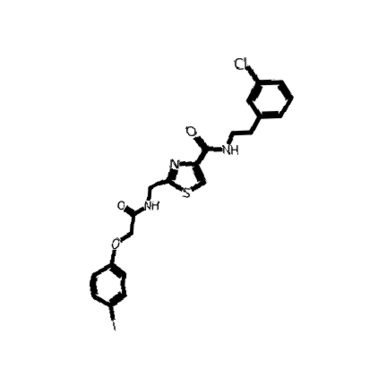 O=C(COc1ccc(I)cc1)NCc1nc(C(=O)NCCc2cccc(Cl)c2)cs1